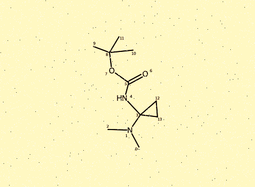 CN(C)C1(NC(=O)OC(C)(C)C)CC1